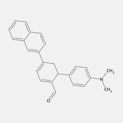 CN(C)c1ccc(C2CC(c3ccc4ccccc4c3)=CC=C2C=O)cc1